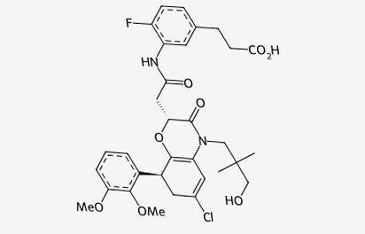 COc1cccc([C@@H]2CC(Cl)=CC3=C2O[C@H](CC(=O)Nc2cc(CCC(=O)O)ccc2F)C(=O)N3CC(C)(C)CO)c1OC